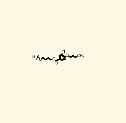 CCCCOc1ccc(C(=O)OCCCCOC)cc1Cl